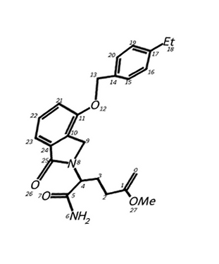 C=C(CCC(C(N)=O)N1Cc2c(OCc3ccc(CC)cc3)cccc2C1=O)OC